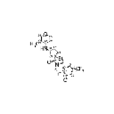 CC[C@]1(C(=O)N2CCn3c(cc(C(F)(F)F)cc3=O)C2)CCC(N[C@H]2CCOC[C@H]2C)C1